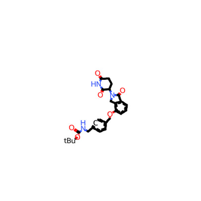 CC(C)(C)OC(=O)NCc1ccc(COc2cccc3c2CN(C2CCC(=O)NC2=O)C3=O)cc1